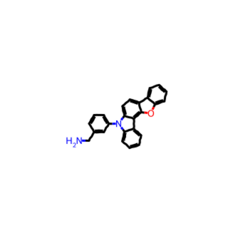 NCc1cccc(-n2c3ccccc3c3c4oc5ccccc5c4ccc32)c1